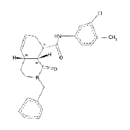 Cc1ccc(NC(=O)[C@H]2CC=C[C@H]3CCN(Cc4ccccc4)C(=O)[C@@H]23)cc1Cl